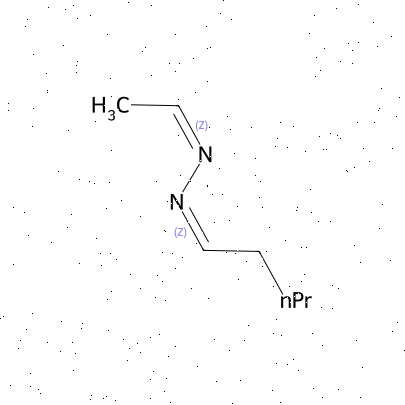 C/C=N\N=C/CCCC